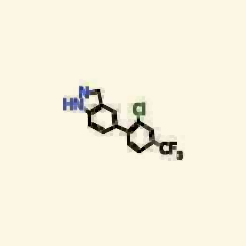 FC(F)(F)c1ccc(-c2ccc3[nH]ncc3c2)c(Cl)c1